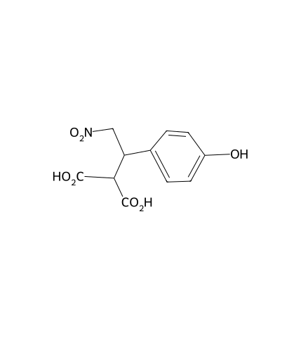 O=C(O)C(C(=O)O)C(C[N+](=O)[O-])c1ccc(O)cc1